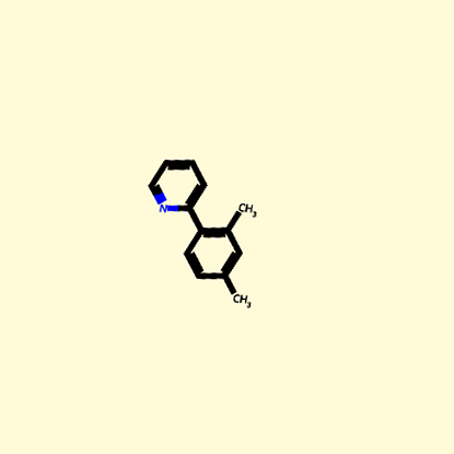 Cc1ccc(-c2c[c]ccn2)c(C)c1